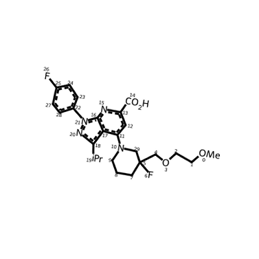 COCCOCC1(F)CCCN(c2cc(C(=O)O)nc3c2c(C(C)C)nn3-c2ccc(F)cc2)C1